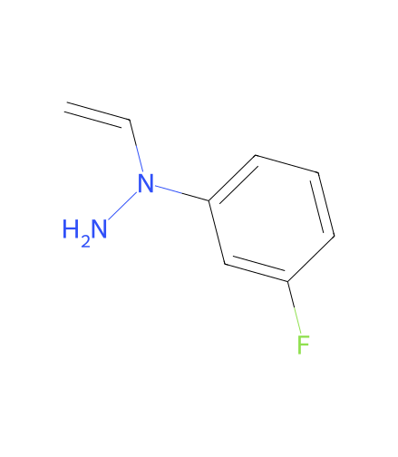 C=CN(N)c1cccc(F)c1